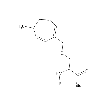 CCC(C)C(=O)C(COCC1=CC=CC(C)C=C1)NC(C)C